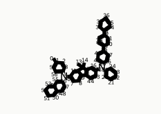 Cc1ccc(N(c2ccc3c(c2)C(C)(C)c2cc(N(c4ccccc4)c4ccc(-c5ccc(-c6ccccc6)cc5)cc4)ccc2-3)c2ccc3ccccc3c2)cc1